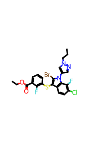 CCCn1cc(-n2c(Br)c(Sc3cccc(C(=O)OCC)c3F)c3ccc(Cl)c(F)c32)cn1